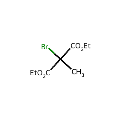 CCOC(=O)C(C)(Br)C(=O)OCC